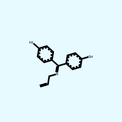 C=CCN=C(c1ccc(S)cc1)c1ccc(S)cc1